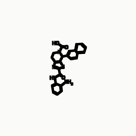 Nc1ccccc1NC(=O)c1nc2c(s1)C(c1ccc3ccccc3c1)N(C(=O)O)CC2